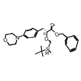 C[SiH](CO[C@H](Cc1ccc(N2CCOCC2)cc1)C(=O)OCc1ccccc1)C(C)(C)C